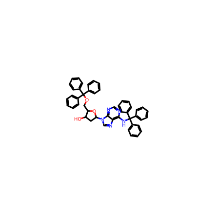 OC1CC(n2cnc3c(NC(c4ccccc4)(c4ccccc4)c4ccccc4)ncnc32)OC1COC(c1ccccc1)(c1ccccc1)c1ccccc1